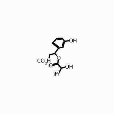 CC(C)C(O)C(=O)OC(CC(=O)O)c1cccc(O)c1